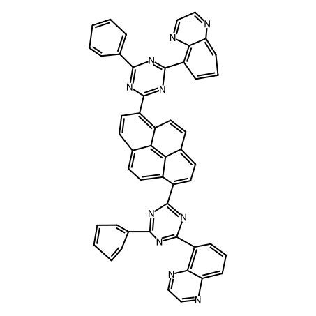 c1ccc(-c2nc(-c3ccc4ccc5c(-c6nc(-c7ccccc7)nc(-c7cccc8nccnc78)n6)ccc6ccc3c4c65)nc(-c3cccc4nccnc34)n2)cc1